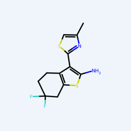 Cc1csc(-c2c(N)sc3c2CCC(F)(F)C3)n1